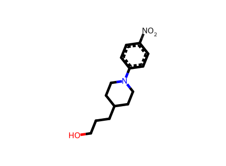 O=[N+]([O-])c1ccc(N2CCC(CCCO)CC2)cc1